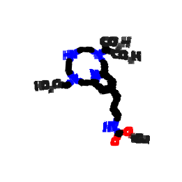 CC(C)(C)OC(=O)NCCCc1cc2nc(c1)CN(C(C(=O)O)C(=O)O)CCNCCN(CC(=O)O)C2